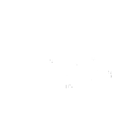 CNC(=O)C(C)(C)C(C)NC(=O)c1cccc(-c2cccc(F)c2)n1